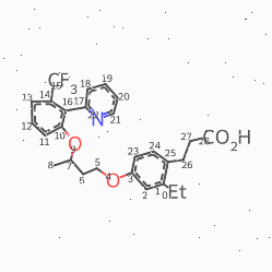 CCc1cc(OCCC(C)Oc2cccc(C(F)(F)F)c2-c2ccccn2)ccc1CCC(=O)O